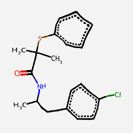 CC(Cc1ccc(Cl)cc1)NC(=O)C(C)(C)Sc1ccccc1